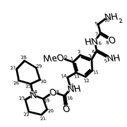 COc1cc(C(=N)NC(=O)CN)ccc1CNC(=O)OC1CCCCN1C1CCCCC1